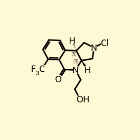 O=C1c2c(cccc2C(F)(F)F)[C@H]2CN(Cl)C[C@@H]2N1CCO